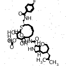 CC(C)C[C@@H]1CCO[C@@H]2[C@H](CN[C@@H]2C(=O)N[C@@H]2CC=CC[C@@H](CNC(=O)c3ccc(F)cc3)S[C@H]3O[C@H]2[C@H](O)[C@H](O)[C@H]3O)C1.O=CO